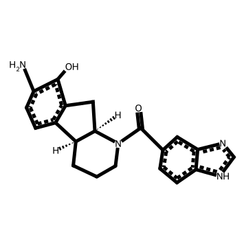 Nc1ccc2c(c1O)C[C@@H]1[C@H]2CCCN1C(=O)c1ccc2[nH]cnc2c1